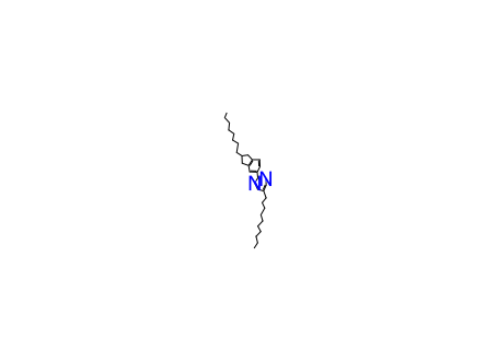 CCCCCCCCCCc1cnc(-c2ccc3c(c2)CC(CCCCCCCC)C3)nc1